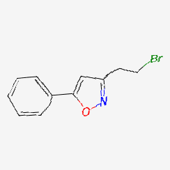 BrCCc1cc(-c2ccccc2)on1